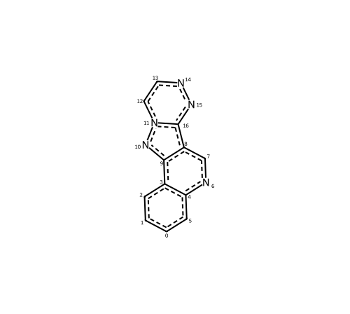 c1ccc2c(c1)ncc1c2nn2ccnnc12